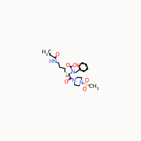 C=CC(=O)NCCCC[C@@H](C(=O)N1CCN(S(C)(=O)=O)CC1)N(Cc1ccccc1)C(=O)O